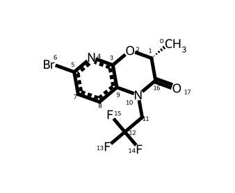 C[C@H]1Oc2nc(Br)ccc2N(CC(F)(F)F)C1=O